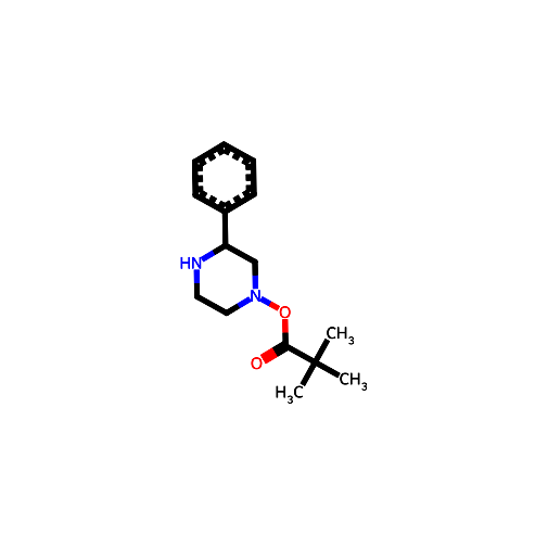 CC(C)(C)C(=O)ON1CCNC(c2ccccc2)C1